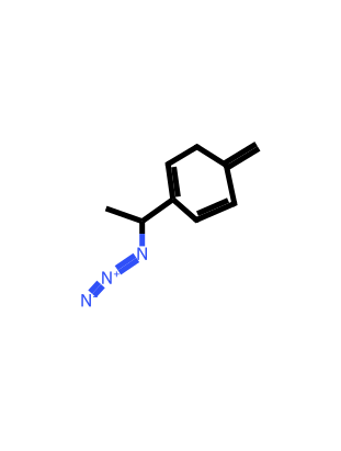 C=C1C=CC(C(C)N=[N+]=[N-])=CC1